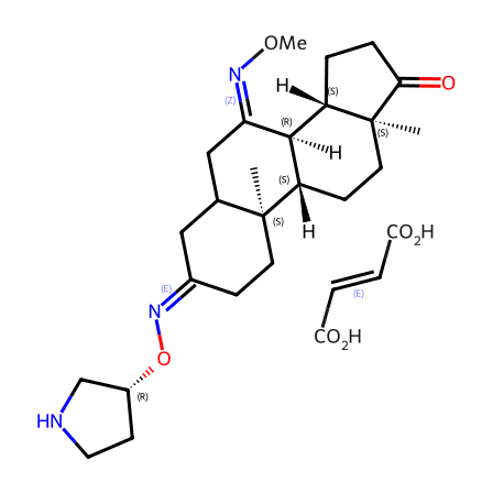 CO/N=C1/CC2C/C(=N/O[C@@H]3CCNC3)CC[C@]2(C)[C@H]2CC[C@]3(C)C(=O)CC[C@H]3[C@H]12.O=C(O)/C=C/C(=O)O